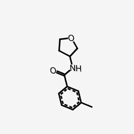 Cc1cccc(C(=O)NC2CCOC2)c1